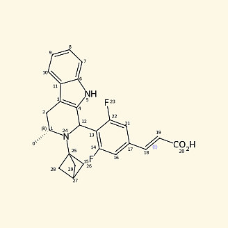 C[C@@H]1Cc2c([nH]c3ccccc23)C(c2c(F)cc(/C=C/C(=O)O)cc2F)N1C12CC(C1)C2